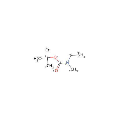 CCC(C)(C)OC(=O)N(C)C[SiH3]